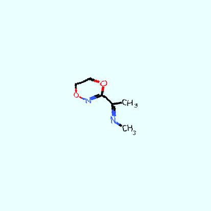 C/N=C(\C)C1=NOCCO1